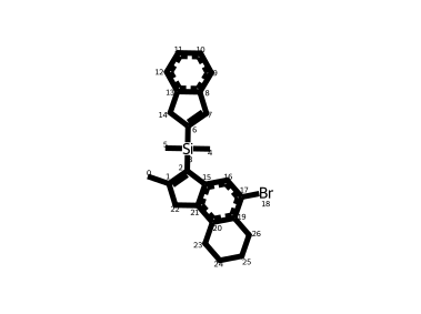 CC1=C([Si](C)(C)C2=Cc3ccccc3C2)c2cc(Br)c3c(c2C1)CCCC3